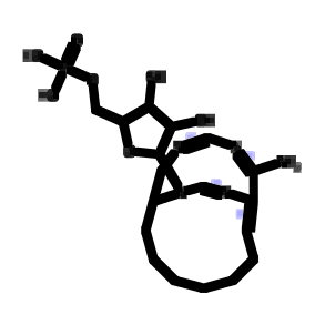 N/C1=N/C=N\CC2CCCCCC/C=C1/N=C\N2C1OC(COP(=O)(O)O)C(O)C1O